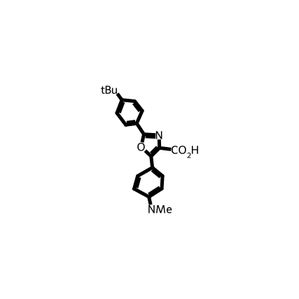 CNc1ccc(-c2oc(-c3ccc(C(C)(C)C)cc3)nc2C(=O)O)cc1